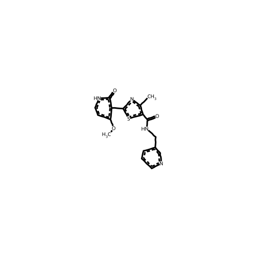 COc1cc[nH]c(=O)c1-c1nc(C)c(C(=O)NCc2cccnc2)s1